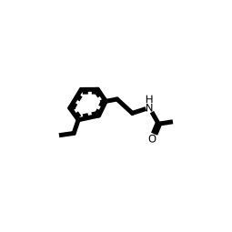 CCc1cccc(CCNC(C)=O)c1